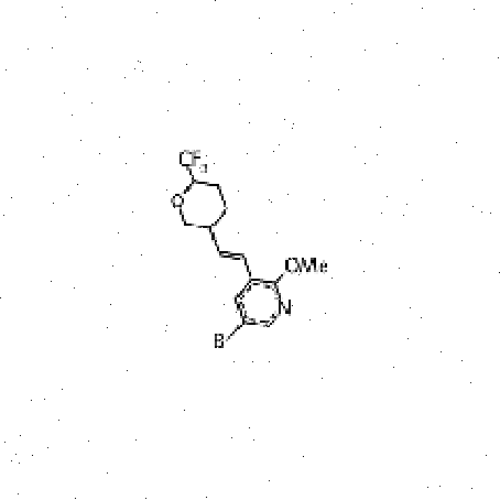 COc1ncc(Br)cc1/C=C/C1CCC(C(F)(F)F)OC1